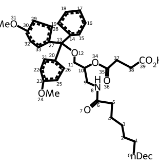 CCCCCCCCCCCCCCCC(=O)NCC(COC(c1ccccc1)(c1ccc(OC)cc1)c1ccc(OC)cc1)OC(=O)CCC(=O)O